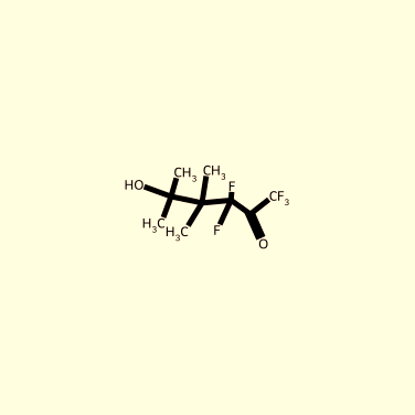 CC(C)(O)C(C)(C)C(F)(F)C(=O)C(F)(F)F